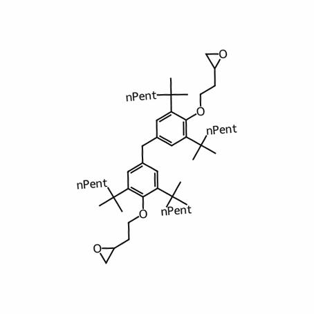 CCCCCC(C)(C)c1cc(Cc2cc(C(C)(C)CCCCC)c(OCCC3CO3)c(C(C)(C)CCCCC)c2)cc(C(C)(C)CCCCC)c1OCCC1CO1